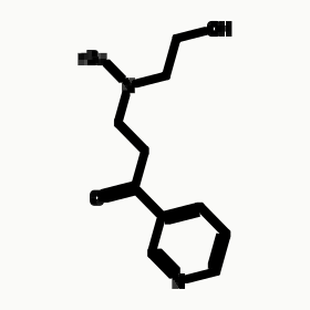 CCCCN(CCO)CCC(=O)c1cccnc1